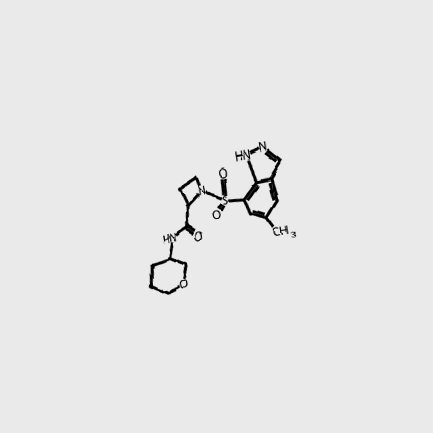 Cc1cc(S(=O)(=O)N2CCC2C(=O)NC2CCCOC2)c2[nH]ncc2c1